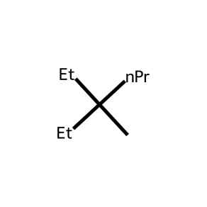 C[CH]CC(C)(CC)CC